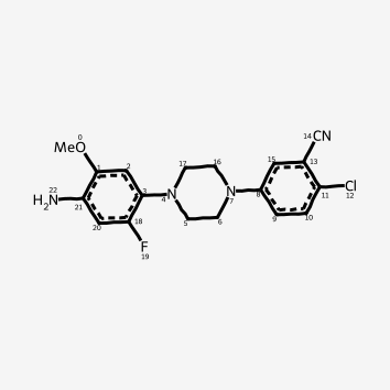 COc1cc(N2CCN(c3ccc(Cl)c(C#N)c3)CC2)c(F)cc1N